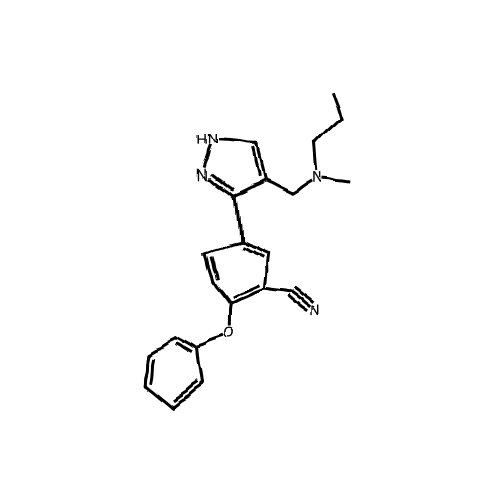 CCCN(C)Cc1c[nH]nc1-c1ccc(Oc2ccccc2)c(C#N)c1